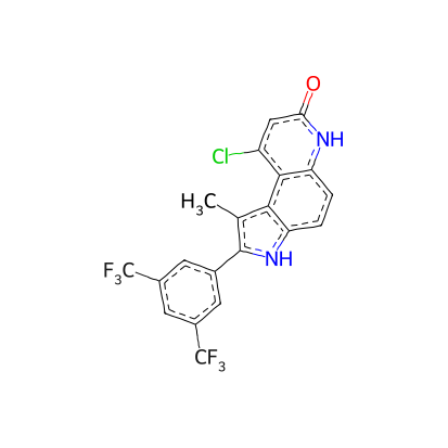 Cc1c(-c2cc(C(F)(F)F)cc(C(F)(F)F)c2)[nH]c2ccc3[nH]c(=O)cc(Cl)c3c12